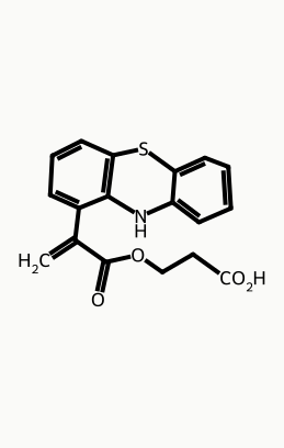 C=C(C(=O)OCCC(=O)O)c1cccc2c1Nc1ccccc1S2